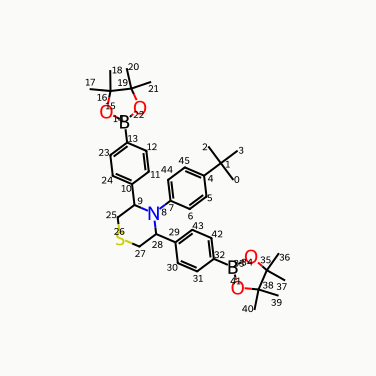 CC(C)(C)c1ccc(N2C(c3ccc(B4OC(C)(C)C(C)(C)O4)cc3)CSCC2c2ccc(B3OC(C)(C)C(C)(C)O3)cc2)cc1